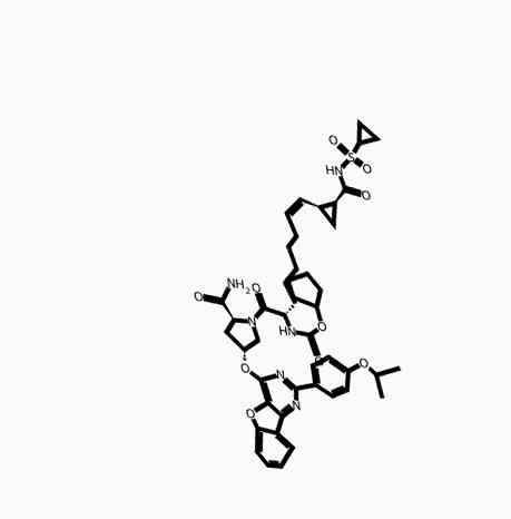 CC(C)Oc1ccc(-c2nc(O[C@@H]3C[C@@H](C(N)=O)N(C(=O)[C@H](CCCCC/C=C\[C@@H]4C[C@@H]4C(=O)NS(=O)(=O)C4CC4)NC(=O)OC4CCCC4)C3)c3oc4ccccc4c3n2)cc1